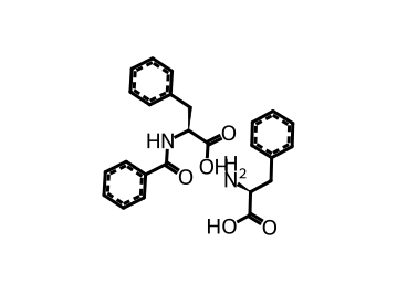 N[C@@H](Cc1ccccc1)C(=O)O.O=C(N[C@@H](Cc1ccccc1)C(=O)O)c1ccccc1